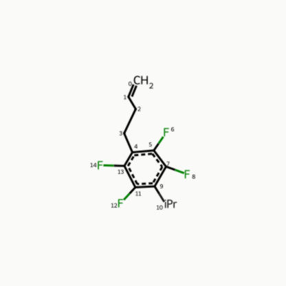 C=CCCc1c(F)c(F)c(C(C)C)c(F)c1F